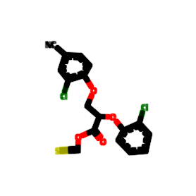 N#Cc1ccc(OCC(Oc2ccccc2Cl)C(=O)OC=S)c(Cl)c1